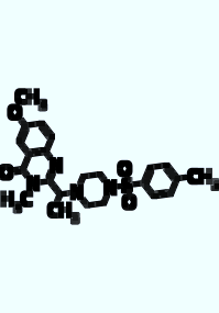 COc1ccc2nc(C(C)N3CCN(S(=O)(=O)c4ccc(C)cc4)CC3)n(C)c(=O)c2c1